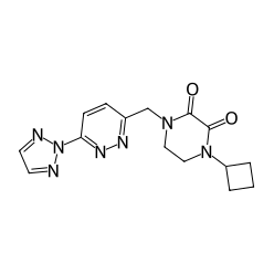 O=C1C(=O)N(C2CCC2)CCN1Cc1ccc(-n2nccn2)nn1